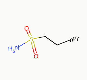 CCCC[CH]S(N)(=O)=O